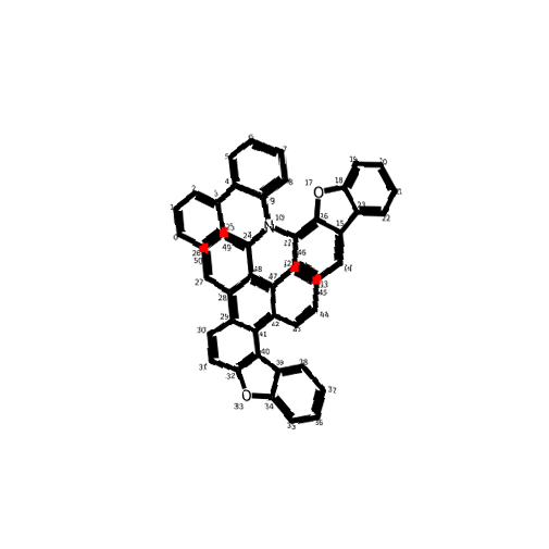 c1ccc(-c2ccccc2N(c2cccc3c2oc2ccccc23)c2cccc3c4ccc5oc6ccccc6c5c4c4ccccc4c23)cc1